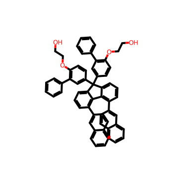 OCCOc1ccc(C2(c3ccc(OCCO)c(-c4ccccc4)c3)c3cccc(-c4ccc5ccccc5c4)c3-c3c(-c4ccc5ccccc5c4)cccc32)cc1-c1ccccc1